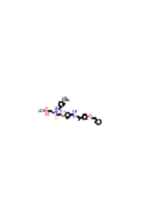 C=N/C(=N\C=C(/C)c1ccc(OCCC2CCCCC2)cc1)c1ccc(C[C@H](NC(=O)c2ccc(C(C)(C)C)cc2)C(=O)NCCC(=O)OC(C)(C)C)cc1